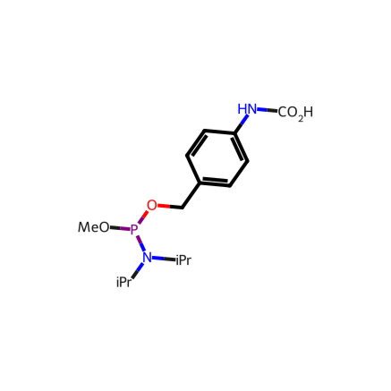 COP(OCc1ccc(NC(=O)O)cc1)N(C(C)C)C(C)C